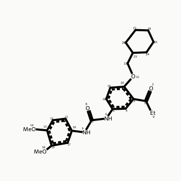 CCC(=O)c1cc(NC(=O)Nc2ccc(OC)c(OC)c2)ccc1OCC1CCCCC1